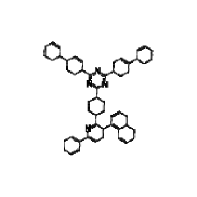 C1=CCC(C2=CCC(c3nc(C4C=CC(C5C=CC=CC5)CC4)nc(C4CCC(C5=NC(C6=CCCC=C6)=CCC5C5=C6C=CCCC6CC=C5)CC4)n3)CC2)C=C1